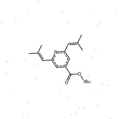 CC(C)=Cc1cc(C(=O)OC(C)(C)C)cc(C=C(C)C)n1